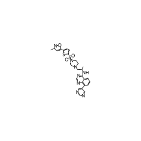 Cc1cc(-c2ccc(S(=O)(=O)N3CCN(CC(C)Nc4ncnc5c(-c6cncnc6)cccc45)CC3)s2)on1